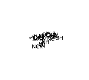 CN1CCN(c2cc(Nc3ncc(C#N)s3)nc(OC3CCN(c4snc(O)c4C#N)CC3)n2)CC1